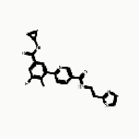 Cc1c(F)cc(C(=O)NC2CC2)cc1-c1ccc(C(=O)NCCc2nccs2)cn1